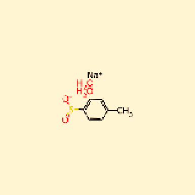 Cc1ccc(S(=O)[O-])cc1.O.O.[Na+]